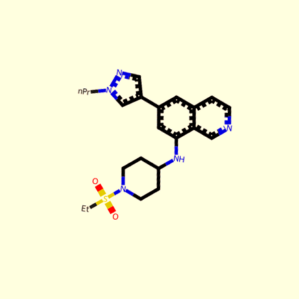 CCCn1cc(-c2cc(NC3CCN(S(=O)(=O)CC)CC3)c3cnccc3c2)cn1